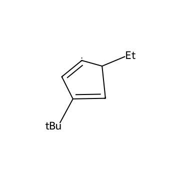 CCC1[C]=CC(C(C)(C)C)=C1